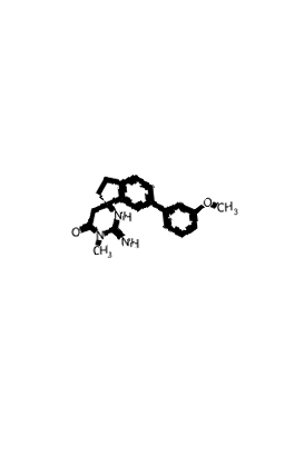 COc1cccc(-c2ccc3c(c2)[C@]2(CC3)CC(=O)N(C)C(=N)N2)c1